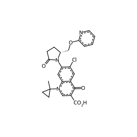 CC1(n2cc(C(=O)O)c(=O)c3cc(Cl)c(N4C(=O)CC[C@@H]4COc4ccccn4)cc32)CC1